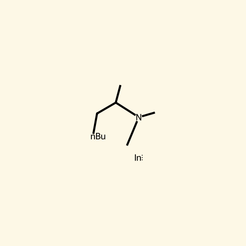 CCCCCC(C)N(C)C.[In]